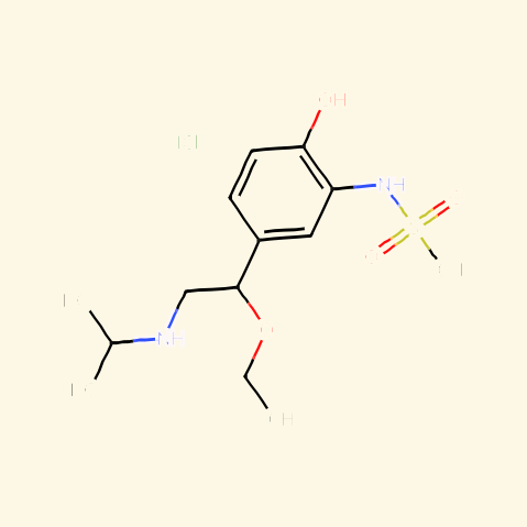 CCOC(CNC(C)C)c1ccc(O)c(NS(C)(=O)=O)c1.Cl